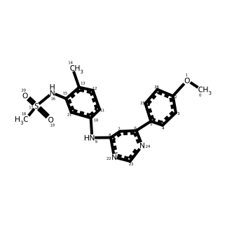 COc1ccc(-c2cc(Nc3ccc(C)c(NS(C)(=O)=O)c3)ncn2)cc1